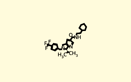 CC(C)[C@H]1c2ncc(C(=O)NCCC3CCCCC3)cc2CN1Cc1ccc(C(F)(F)F)cc1